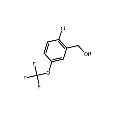 OCc1cc(OC(F)(F)F)ccc1Cl